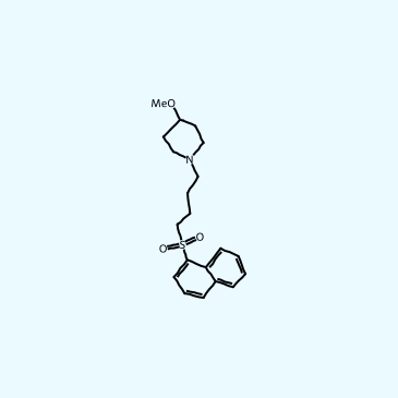 CO[C]1CCN(CCCCS(=O)(=O)c2cccc3ccccc23)CC1